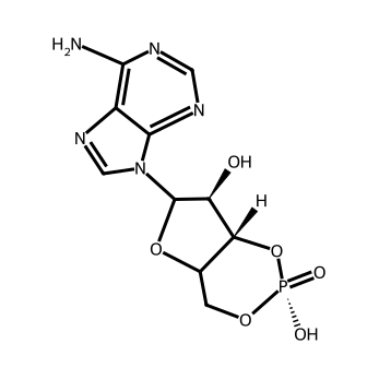 Nc1ncnc2c1ncn2C1OC2CO[P@@](=O)(O)O[C@H]2[C@@H]1O